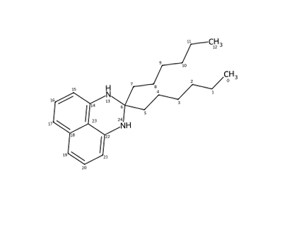 CCCCCCC1(CCCCCC)Nc2cccc3cccc(c23)N1